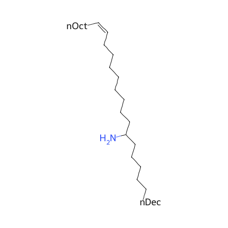 CCCCCCCC/C=C\CCCCCCCCC(N)CCCCCCCCCCCCCCC